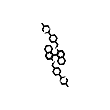 CC1COC(C2CCC(COc3ccc4c(c3-c3c(OCC5CCC(C6OCC(C)CO6)CC5)ccc5c3CCCC5)CCCC4)CC2)OC1